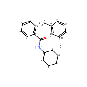 O=C(NC1CCCCC1)c1ccccc1.O=[N+]([O-])c1cccc([N+](=O)[O-])c1